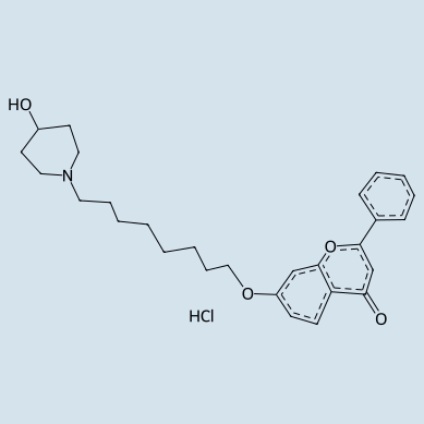 Cl.O=c1cc(-c2ccccc2)oc2cc(OCCCCCCCCN3CCC(O)CC3)ccc12